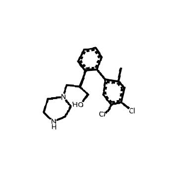 Cc1cc(Cl)c(Cl)cc1-c1ccccc1C(CO)CN1CCNCC1